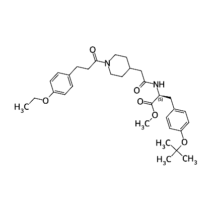 CCOc1ccc(CCC(=O)N2CCC(CC(=O)N[C@@H](Cc3ccc(OC(C)(C)C)cc3)C(=O)OC)CC2)cc1